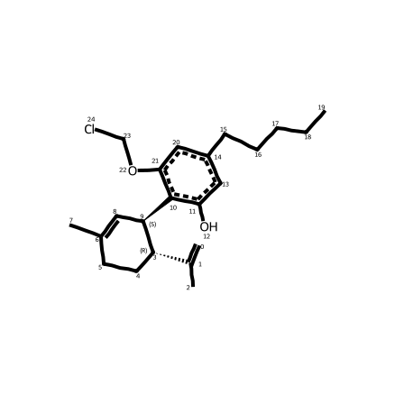 C=C(C)[C@@H]1CCC(C)=C[C@H]1c1c(O)cc(CCCCC)cc1OCCl